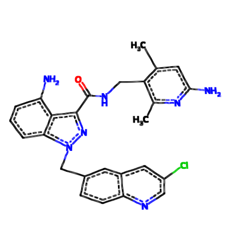 Cc1cc(N)nc(C)c1CNC(=O)c1nn(Cc2ccc3ncc(Cl)cc3c2)c2cccc(N)c12